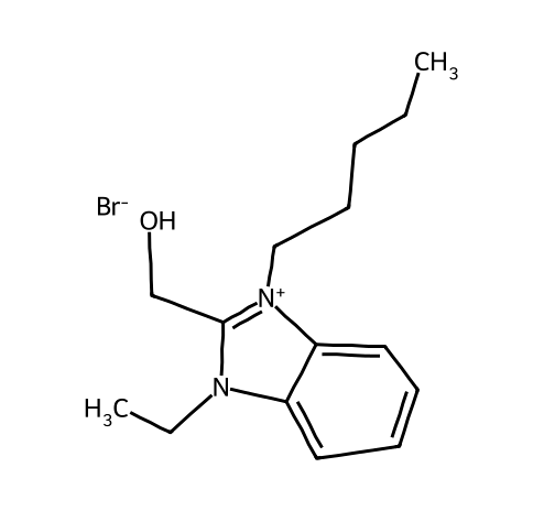 CCCCC[n+]1c(CO)n(CC)c2ccccc21.[Br-]